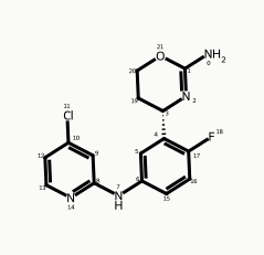 NC1=N[C@H](c2cc(Nc3cc(Cl)ccn3)ccc2F)CCO1